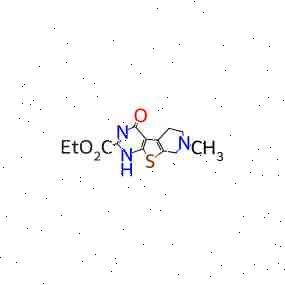 CCOC(=O)c1nc(=O)c2c3c(sc2[nH]1)CN(C)CC3